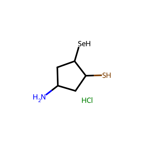 Cl.NC1CC(S)C([SeH])C1